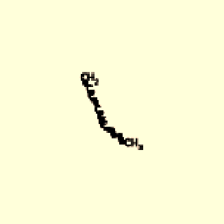 C=C=C=C=C=C=C=C=C=C=CCCCCC